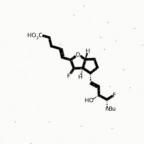 CCCC[C@@H](F)[C@H](O)/C=C/[C@H]1CC[C@H]2OC(/C=C/CCC(=O)O)C(F)[C@H]12